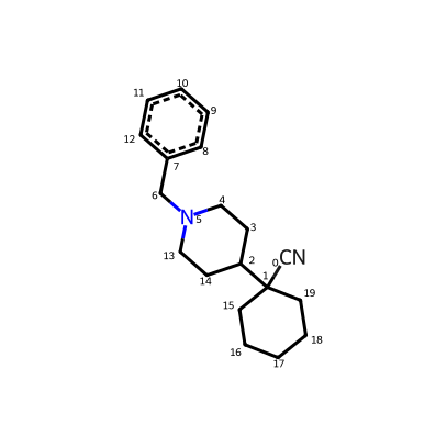 N#CC1(C2CCN(Cc3ccccc3)CC2)CCCCC1